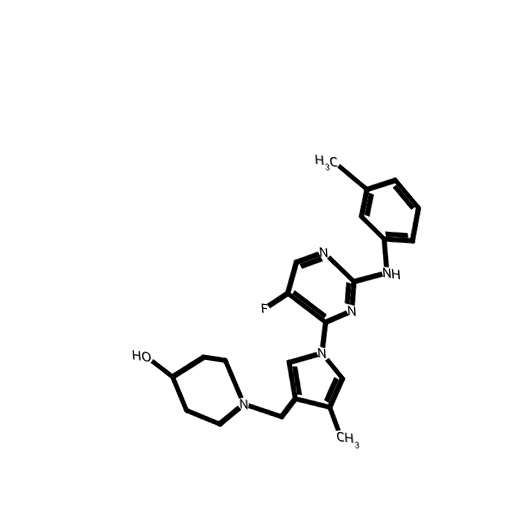 Cc1cccc(Nc2ncc(F)c(-n3cc(C)c(CN4CCC(O)CC4)c3)n2)c1